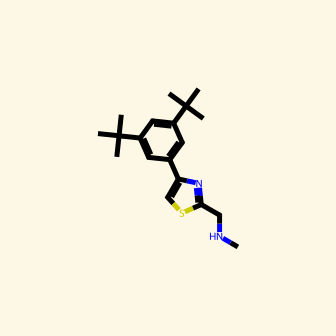 CNCc1nc(-c2cc(C(C)(C)C)cc(C(C)(C)C)c2)cs1